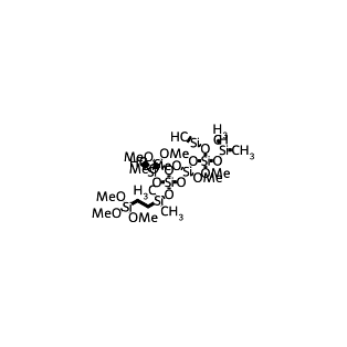 C#[Si]O[Si](OC)(O[SiH](C)C)O[Si](OC)(OC)O[Si](O[Si]#C)(O[Si](C)(C)CC[Si](OC)(OC)OC)O[Si](OC)(OC)OC